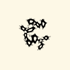 c1ccc(-c2ccc3c(c2)c2ccccc2n3-c2ccc(-c3ccc4oc5cccc(-c6cccc(-c7nc(-c8ccccc8)nc(-c8ccccc8)n7)c6)c5c4c3)c3c2oc2ccccc23)cc1